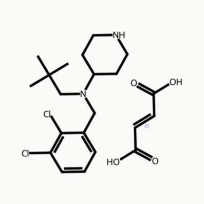 CC(C)(C)CN(Cc1cccc(Cl)c1Cl)C1CCNCC1.O=C(O)/C=C/C(=O)O